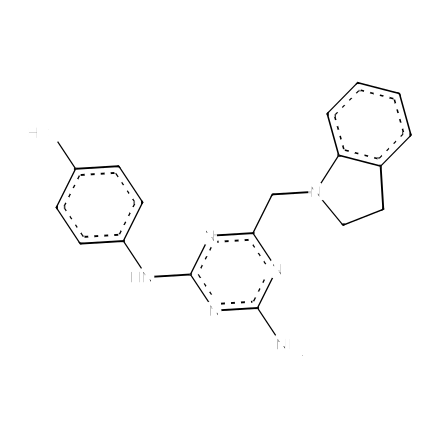 Cc1ccc(Nc2nc(N)nc(CN3CCc4ccccc43)n2)cc1